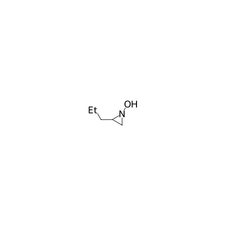 CCCC1CN1O